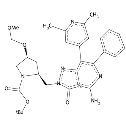 COCO[C@H]1C[C@@H](Cn2nc3c(-c4cc(C)nc(C)c4)c(-c4ccccc4)nc(N)n3c2=O)N(C(=O)OC(C)(C)C)C1